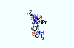 CC(C)c1cn(Cc2ccc([S@@](C)(=N)=O)cc2F)c2cc(C3CC3)nn2c1=O